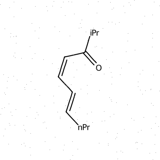 CCC/C=C/C=C\C(=O)C(C)C